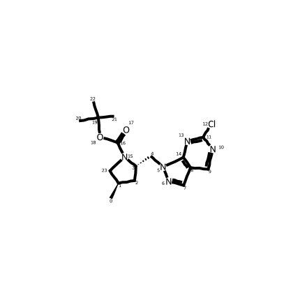 C[C@@H]1C[C@@H](Cn2ncc3cnc(Cl)nc32)N(C(=O)OC(C)(C)C)C1